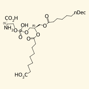 CCCCCCCCCCCCCCCC(=O)OC[C@H](COP(=O)(O)OC[C@H](N)C(=O)O)OC(=O)CCCCCCCC(=O)O